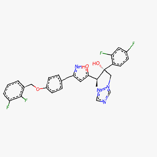 C[C@@H](c1cc(-c2ccc(OCc3cccc(F)c3F)cc2)no1)[C@](O)(Cn1cncn1)c1ccc(F)cc1F